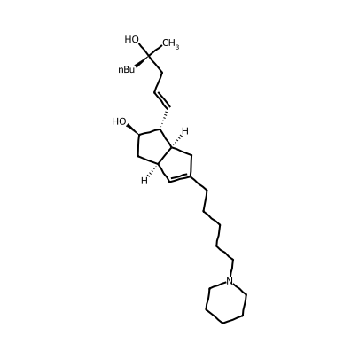 CCCC[C@](C)(O)C/C=C/[C@@H]1[C@H]2CC(CCCCCN3CCCCC3)=C[C@H]2C[C@H]1O